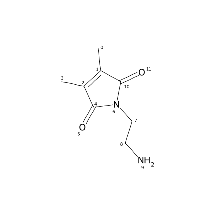 CC1=C(C)C(=O)N(CCN)C1=O